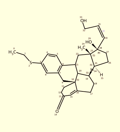 CCSc1ccc2c(c1)C[C@]13CCC(=O)C=C1CC[C@@H]1C3C2C[C@@]2(C)[C@H]1CC[C@@]2(O)/C=C\CO